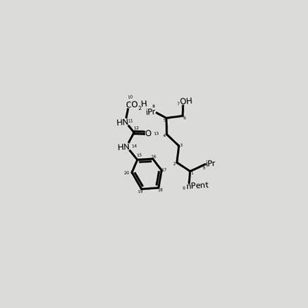 CCCCCC(CCCC(CO)C(C)C)C(C)C.O=C(O)NC(=O)Nc1ccccc1